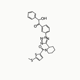 CSc1ccc(C(=O)N2CCCCC2c2nnn(-c3cccc(C(=O)C(O)c4ccccc4)c3)n2)s1